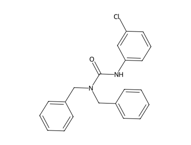 O=C(Nc1cccc(Cl)c1)N(Cc1ccccc1)Cc1ccccc1